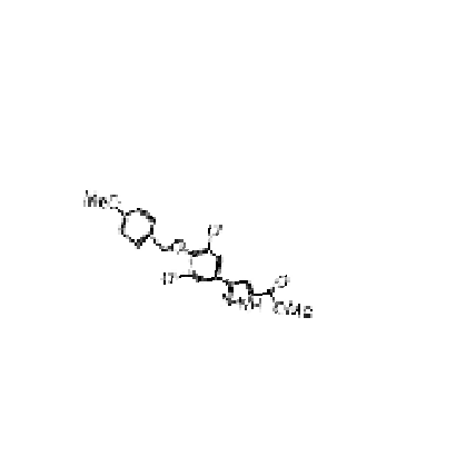 COC(=O)c1cc(-c2cc(Cl)c(OCc3ccc(OC)cc3)c(Cl)c2)n[nH]1